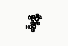 COC(=O)C=Cc1oc2c(O)c(OC)ccc2c1C(=O)c1cc(OC)c(OC)c(OC)c1